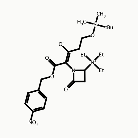 CC[N+](CC)(CC)C1CC(=O)N1C(C(=O)OCc1ccc([N+](=O)[O-])cc1)=C([O-])CCO[Si](C)(C)C(C)(C)C